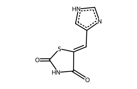 O=C1NC(=O)C(=Cc2c[nH]cn2)S1